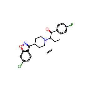 C=C.CCC(C(=O)c1ccc(F)cc1)N1CCC(c2noc3cc(Cl)ccc23)CC1